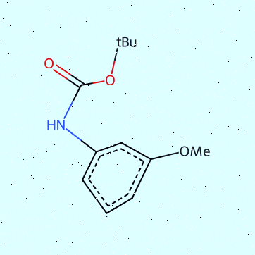 COc1c[c]cc(NC(=O)OC(C)(C)C)c1